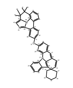 CC1(C)c2cccc3c4ccc(Oc5ccc6cc7c8c(c9ccccc9n8c6n5)C5(C=C7)CCCCC5)cc4c4ncc(n4c23)C1(C)C